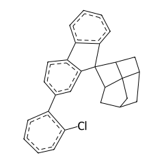 Clc1ccccc1-c1ccc2c(c1)C1(c3ccccc3-2)C2CC3CC4CC1C42C3